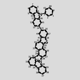 c1ccc(-n2c3ccccc3c3ccc(-c4ccc5sc6c(ccc7c6ccc6c7c7cccc8c9ccccc9n6c87)c5c4)cc32)cc1